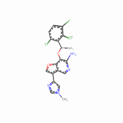 C[C@@H](Oc1c(N)ncc2c(-c3cn(C)cn3)coc12)c1c(Cl)ccc(F)c1Cl